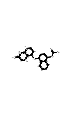 O=C(O)Nc1ccc(Oc2ccnc3[nH]c(=O)cnc23)c2ccccc12